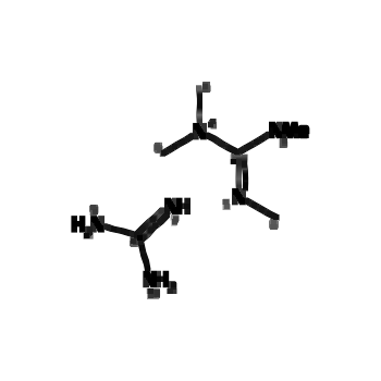 C/N=C(\NC)N(C)C.N=C(N)N